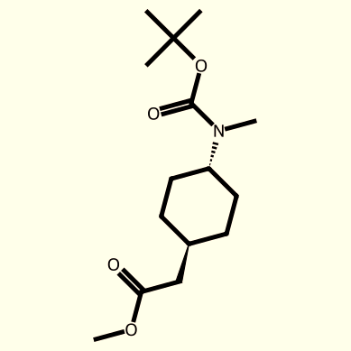 COC(=O)C[C@H]1CC[C@H](N(C)C(=O)OC(C)(C)C)CC1